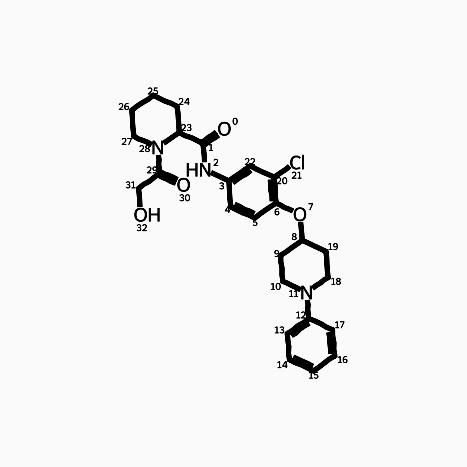 O=C(Nc1ccc(OC2CCN(c3ccccc3)CC2)c(Cl)c1)C1CCCCN1C(=O)CO